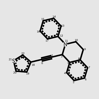 C(#CC1c2ccccc2CCN1c1ccccc1)c1ccsc1